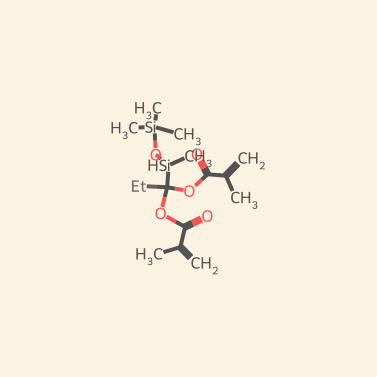 C=C(C)C(=O)OC(CC)(OC(=O)C(=C)C)[SiH](C)O[Si](C)(C)C